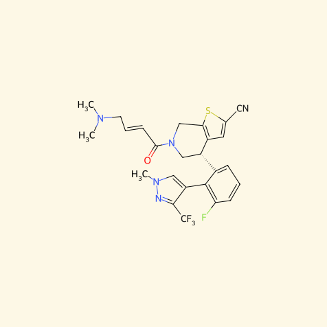 CN(C)C/C=C/C(=O)N1Cc2sc(C#N)cc2[C@H](c2cccc(F)c2-c2cn(C)nc2C(F)(F)F)C1